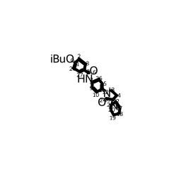 CC(C)COc1ccc(C(=O)Nc2ccc(N3CCC(N4C5CCC4CC5)C3=O)cc2)cc1